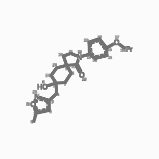 Cc1cc(CC2(O)CCC3(CCN(c4ccc(OC(C)C)cc4)C3=O)CC2)no1